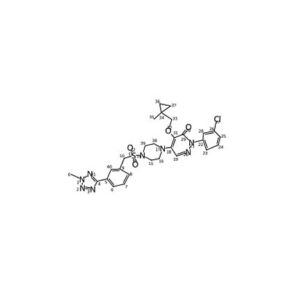 Cn1nnc(-c2cccc(CS(=O)(=O)N3CCN(c4cnn(-c5cccc(Cl)c5)c(=O)c4OCC4(C)CC4)CC3)c2)n1